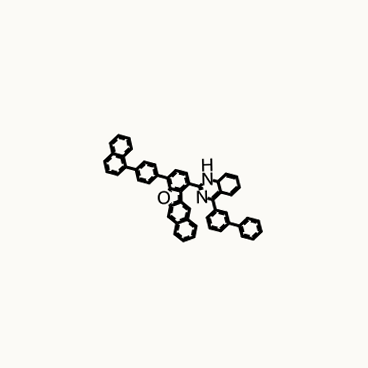 C1=CC2=C(c3cccc(-c4ccccc4)c3)N=C(c3ccc(-c4ccc(-c5cccc6ccccc56)cc4)c4oc5cc6ccccc6cc5c34)NC2C=C1